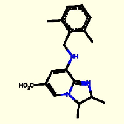 Cc1cccc(C)c1CNC1=CC(C(=O)O)=CN2C1=NC(C)C2C